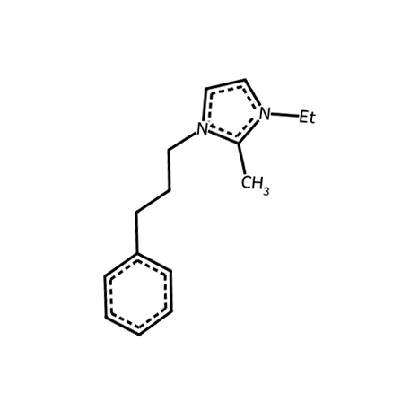 CCn1cc[n+](CCCc2ccccc2)c1C